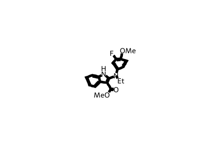 CCN(c1ccc(OC)c(F)c1)c1[nH]c2ccccc2c1C(=O)OC